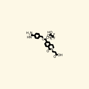 CC(OCc1ccc(C(=N)N)cc1)c1ccc2c(c1)CCN(CCC(=O)O)C2=O.O=C(O)C(F)(F)F